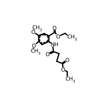 CCOC(=O)CCC(=O)Nc1cc(OC)c(OC)cc1C(=O)OCC